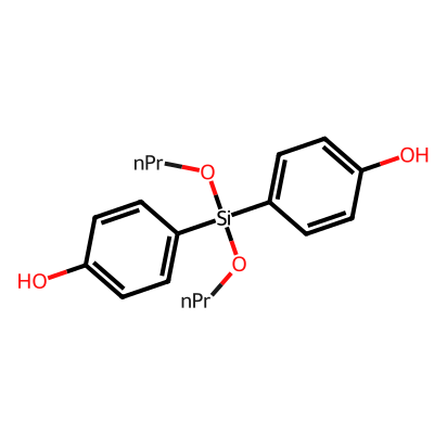 CCCO[Si](OCCC)(c1ccc(O)cc1)c1ccc(O)cc1